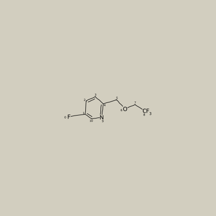 Fc1ccc(COCC(F)(F)F)nc1